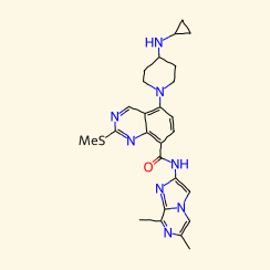 CSc1ncc2c(N3CCC(NC4CC4)CC3)ccc(C(=O)Nc3cn4cc(C)nc(C)c4n3)c2n1